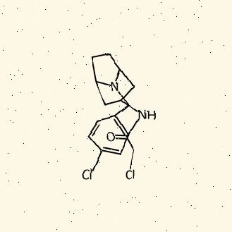 O=C(CCl)NC1CC2CCC(C1)N2Cc1ccc(Cl)cc1